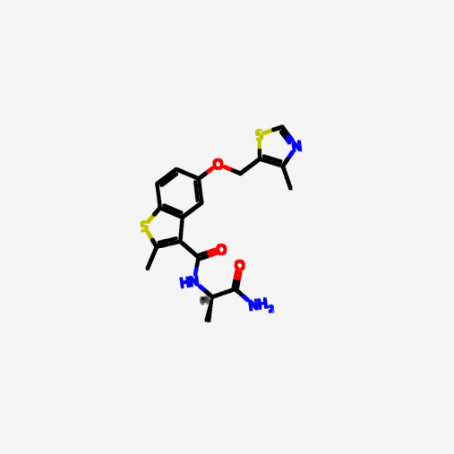 Cc1ncsc1COc1ccc2sc(C)c(C(=O)N[C@H](C)C(N)=O)c2c1